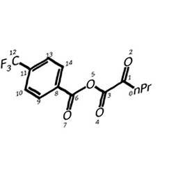 CCCC(=O)C(=O)OC(=O)c1ccc(C(F)(F)F)cc1